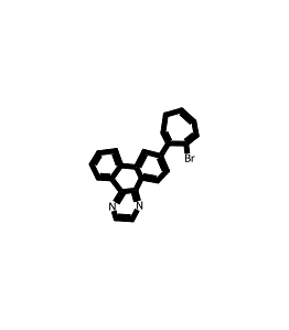 BrC1=CC=CCC=C1c1ccc2c(c1)c1ccccc1c1nccnc21